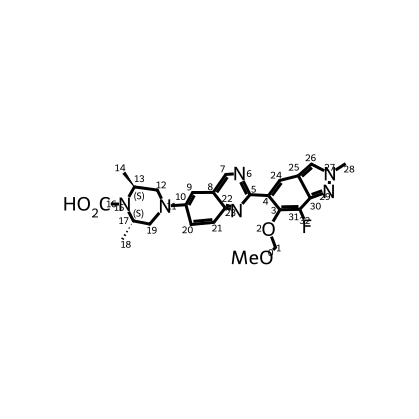 COCOc1c(-c2ncc3cc(N4C[C@H](C)N(C(=O)O)[C@@H](C)C4)ccc3n2)cc2cn(C)nc2c1F